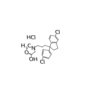 CN(CCCC1(c2ccc(Cl)cc2)CCc2cc(Cl)ccc21)CC(=O)O.Cl